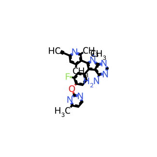 C#Cc1cc(C)c(-c2c(-c3ccc(Oc4nccc(C)n4)c(F)c3)c3c(N)ncnc3n2C)c(C)n1